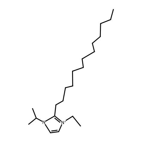 CCCCCCCCCCCCCc1n(C(C)C)cc[n+]1CC